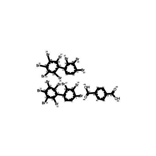 Brc1ccc(-c2c(Br)c(Br)c(Br)c(Br)c2Br)c(Br)c1Br.Brc1ccc(-c2c(Br)c(Br)c(Br)c(Br)c2Br)c(Br)c1Br.O=C(O)c1ccc(C(=O)O)cc1